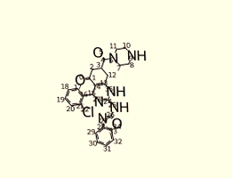 O=C1CC(C(=O)N2CCNCC2)CC2=C1C(c1ccccc1Cl)N=C(Nc1nc3ccccc3o1)N2